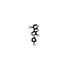 O=c1c2sc3nccc(Cl)c3c2cnn1-c1ccc(Cl)cc1